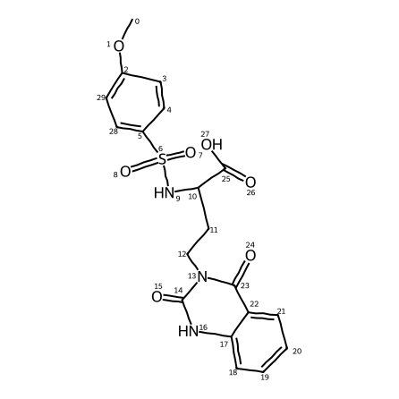 COc1ccc(S(=O)(=O)NC(CCn2c(=O)[nH]c3ccccc3c2=O)C(=O)O)cc1